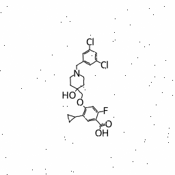 O=C(O)c1cc(C2CC2)c(OCC2(O)CCN(Cc3cc(Cl)cc(Cl)c3)CC2)cc1F